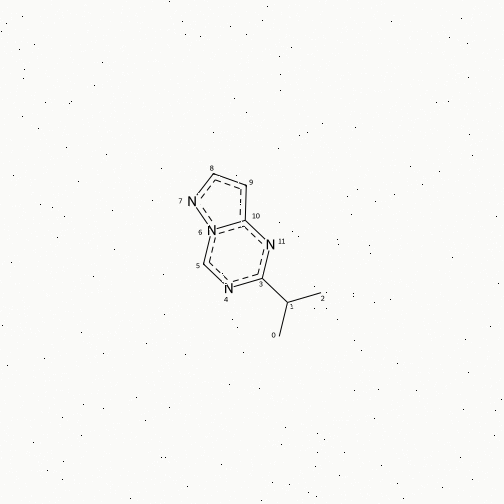 CC(C)c1ncn2nccc2n1